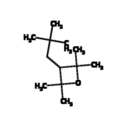 CC(C)(C)CC1C(C)(C)OC1(C)C